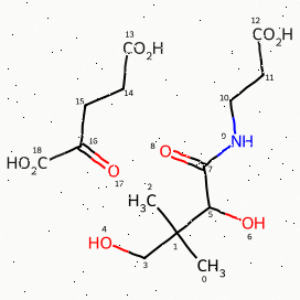 CC(C)(CO)C(O)C(=O)NCCC(=O)O.O=C(O)CCC(=O)C(=O)O